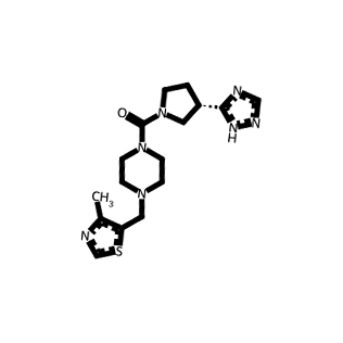 Cc1ncsc1CN1CCN(C(=O)N2CC[C@H](c3ncn[nH]3)C2)CC1